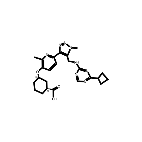 Cc1nc(-c2nnn(C)c2CNc2ncnc(C3CCC3)n2)ccc1O[C@H]1CCC[C@H](C(=O)O)C1